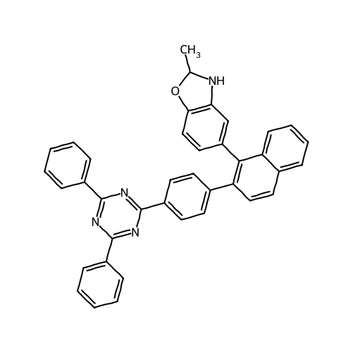 CC1Nc2cc(-c3c(-c4ccc(-c5nc(-c6ccccc6)nc(-c6ccccc6)n5)cc4)ccc4ccccc34)ccc2O1